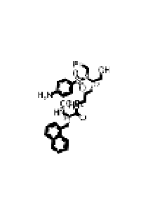 CCOC(=O)N[C@@H](Cc1cccc2ccccc12)C(=O)NCCC[C@@H](CO)N(CC(C)C)S(=O)(=O)c1ccc(N)cc1